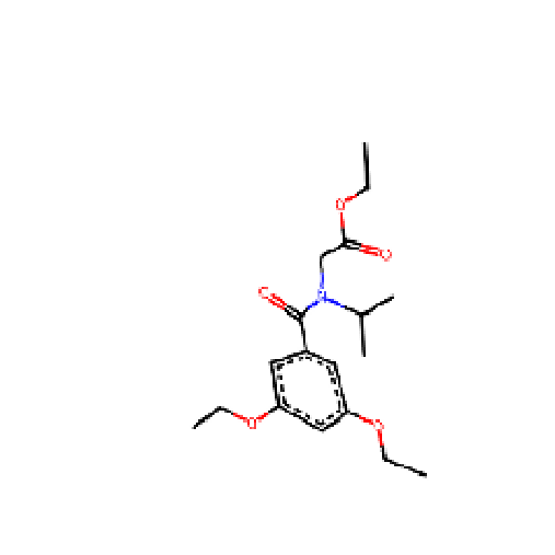 CCOC(=O)CN(C(=O)c1cc(OCC)cc(OCC)c1)C(C)C